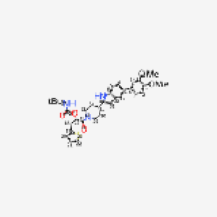 COc1ccc(-c2ccc3[nH]c(C4CCN(C(=O)C(Cc5cccs5)OC(=O)NC(C)(C)C)CC4)cc3c2)cc1OC